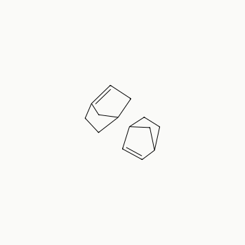 C1=C2CCC(C1)C2.C1=CC2CCC1C2